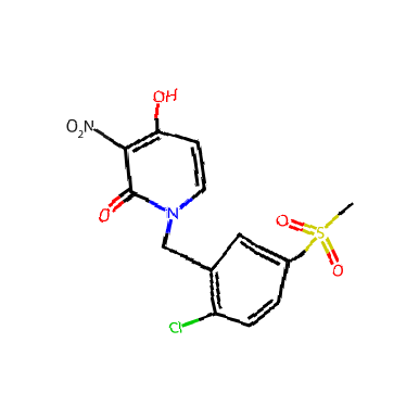 CS(=O)(=O)c1ccc(Cl)c(Cn2ccc(O)c([N+](=O)[O-])c2=O)c1